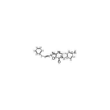 O=c1c2oc(C#CCc3ccccc3)nc2ncn1Cc1ccc(F)cc1